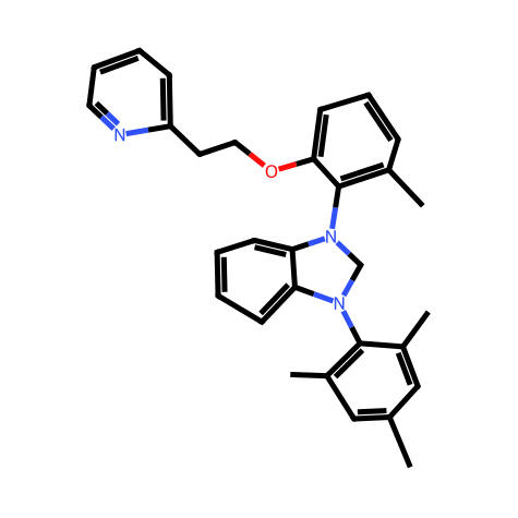 Cc1cc(C)c(N2CN(c3c(C)cccc3OCCc3ccccn3)c3ccccc32)c(C)c1